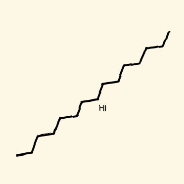 CCCCCCCCCCCCCCC.I